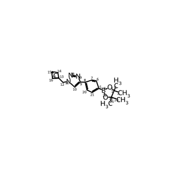 CC1(C)OB(c2ccc(-c3cn(CC45CC(C4)C5)nn3)cc2)OC1(C)C